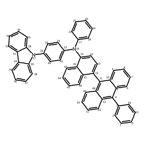 c1ccc(-c2c3ccccc3c(-c3ccc(N(c4ccccc4)c4ccc(-n5c6ccccc6c6ccccc65)cc4)c4ccccc34)c3ccccc23)cc1